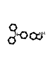 c1ccc(N(c2ccccc2)c2ccccc2)cc1.c1ccc2[nH]ccc2c1